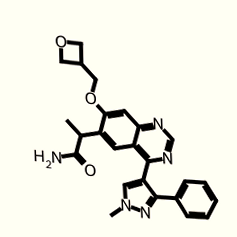 CC(C(N)=O)c1cc2c(-c3cn(C)nc3-c3ccccc3)ncnc2cc1OCC1COC1